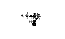 CN[C@@H](CCCNC(N)=O)C(=O)N[C@@H](Cc1c[nH]c2ccccc12)C(=O)C(C)C